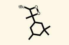 CC1CC(C2(C)OOC2C(C)(C)C)CC(C)(C)C1